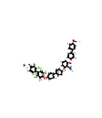 COc1ccc(-c2ccc(Oc3cccc(Oc4ccc(-c5ccc(Oc6c(F)c(F)c(-c7c(F)c(F)c(C)c(F)c7F)c(F)c6F)cc5)cc4)c3C#N)cc2)cc1